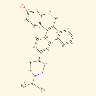 CC(C)N1CCN(c2ccc(C3=C(c4ccccc4)CSc4cc(O)ccc43)cc2)CC1